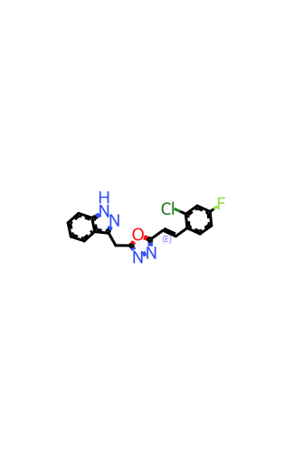 Fc1ccc(/C=C/c2nnc(Cc3n[nH]c4ccccc34)o2)c(Cl)c1